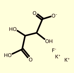 O=C([O-])C(O)C(O)C(=O)O.[F-].[K+].[K+]